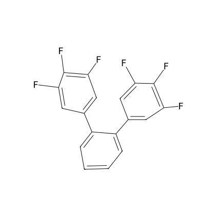 Fc1cc(-c2ccccc2-c2cc(F)c(F)c(F)c2)cc(F)c1F